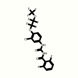 O=C(NC(=O)c1c(F)cccc1F)Nc1ccc(OC(F)(F)C(F)(F)OC(F)(F)F)c(Cl)c1